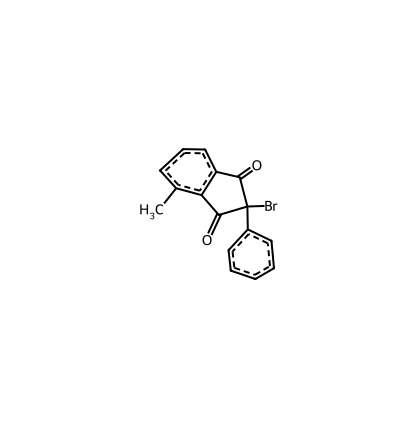 Cc1cccc2c1C(=O)C(Br)(c1ccccc1)C2=O